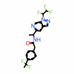 CC(NC(=O)Cc1ccc(C(C)(F)F)cc1)c1cc2cnn(C(F)C(F)F)c2cn1